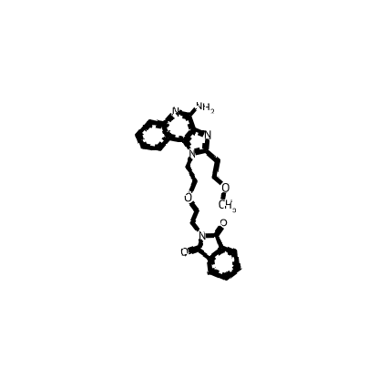 COCCc1nc2c(N)nc3ccccc3c2n1CCOCCN1C(=O)c2ccccc2C1=O